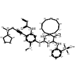 C=CC(=O)Nc1cc(NC2NC(Nc3ccccc3P(C)(C)=O)C(Cl)C3(CCCCCCCCC3)N2)c(OC)cc1C#CCN(C)C1CCCC1